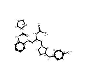 O=C(Nc1ccccc1OCC(CN1CCC(Oc2ccc(Cl)cc2)C1)OC(=O)C(F)(F)F)[C@@H]1CSCN1